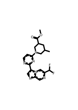 COC(=O)C1CC(C)CN(c2ccnc(-c3cnc4cnc(C(F)F)cn34)n2)C1